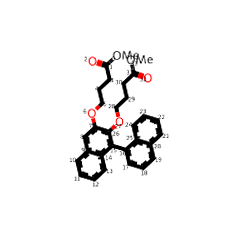 COC(=O)CCCOc1cc2ccccc2c(-c2cccc3ccccc23)c1OCCCC(=O)OC